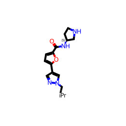 CC(C)Cn1cc(-c2ccc(C(=O)N[C@H]3CCNC3)o2)cn1